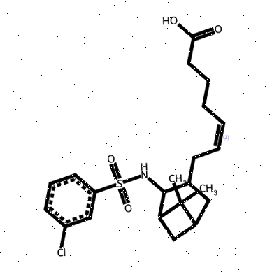 CC1(C)C2CC(C/C=C\CCCC(=O)O)C(NS(=O)(=O)c3cccc(Cl)c3)C1C2